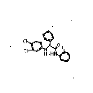 O=C(Nc1ccccc1F)C(Nc1ccc(Cl)c(Cl)c1)c1ccccc1